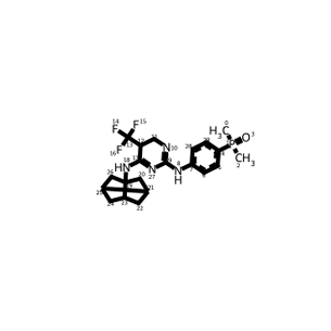 CP(C)(=O)c1ccc(NC2=NCC(C(F)(F)F)C(NC34CC5CC3CC5C4)=N2)cc1